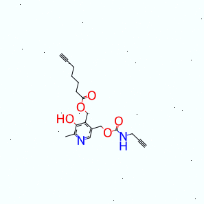 C#CCCCCC(=O)OCc1c(COC(=O)NCC#C)cnc(C)c1O